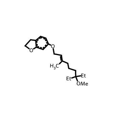 CCC(CC)(CCC/C(C)=C/COc1ccc2c(c1)OCC2)OC